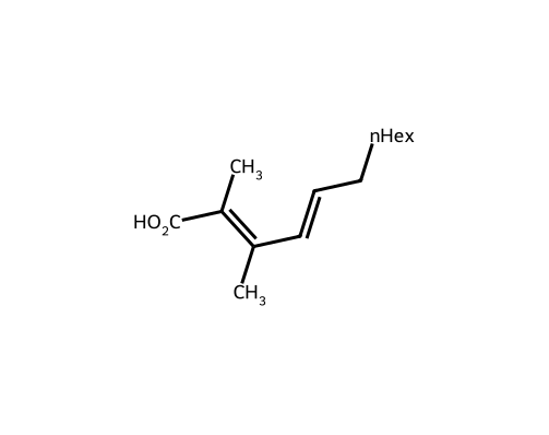 CCCCCCCC=CC(C)=C(C)C(=O)O